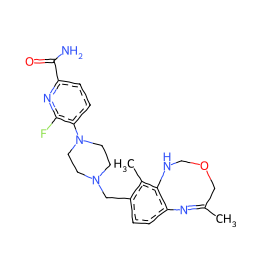 C/C1=N/c2ccc(CN3CCN(c4ccc(C(N)=O)nc4F)CC3)c(C)c2NCOC1